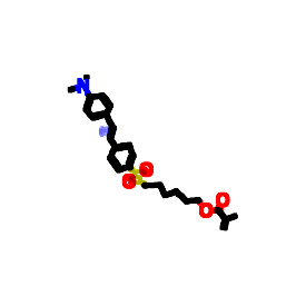 C=C(C)C(=O)OCCCCCCS(=O)(=O)c1ccc(/C=C/c2ccc(N(C)C)cc2)cc1